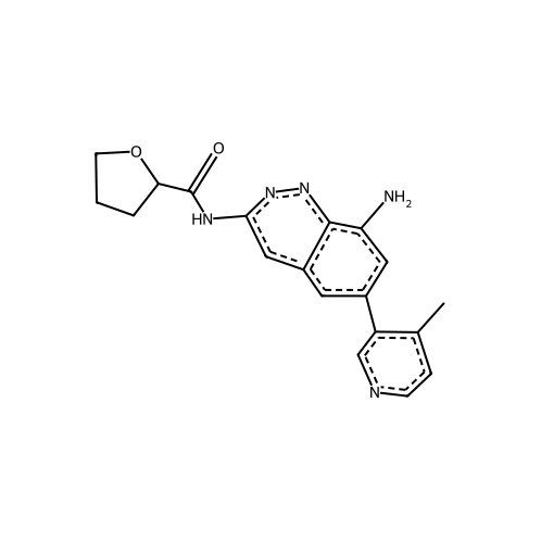 Cc1ccncc1-c1cc(N)c2nnc(NC(=O)C3CCCO3)cc2c1